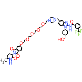 C=C1CCC(N2C(=O)c3ccc(OCCOCCOCCOCCOCCN4CCN(Cc5ccc6c(c5)nc(NC(=O)c5cccc(C(F)(F)F)c5)n6[C@H]5CC[C@@H](CO)CC5)CC4)cc3C2=O)C(=O)N1